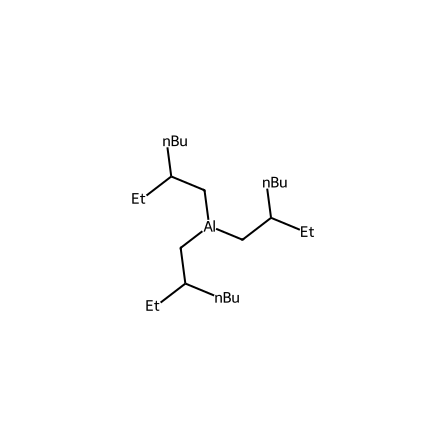 CCCCC(CC)[CH2][Al]([CH2]C(CC)CCCC)[CH2]C(CC)CCCC